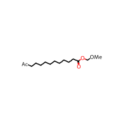 COCOC(=O)CCCCCCCCCCC(C)=O